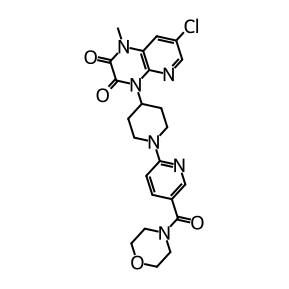 Cn1c(=O)c(=O)n(C2CCN(c3ccc(C(=O)N4CCOCC4)cn3)CC2)c2ncc(Cl)cc21